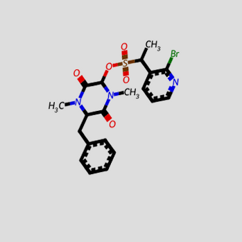 CC(c1cccnc1Br)S(=O)(=O)OC1C(=O)N(C)C(Cc2ccccc2)C(=O)N1C